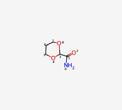 NC(=O)C1OC[CH]CO1